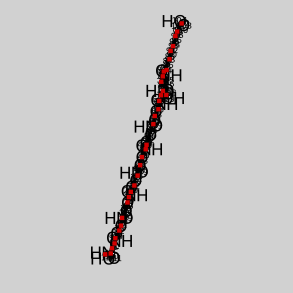 CN[C@@H](CCCCNC(=O)COCCOCCNC(=O)COCCOCCNC(=O)COCCOCCNC(=O)COCCOCCNC(=O)COCCOCCNC(=O)COCCOCCNC(=O)CC[C@H](NC(=O)[C@H]1CC[C@H](CNC(=O)CCCCCCCCCCCCCCCCCCC(=O)O)CC1)C(=O)O)C(=O)O